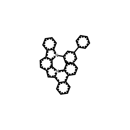 c1ccc(-c2cncc(-n3c4ccccc4c4ccc5cc6c7ccccc7c7ccccc7n6c5c43)c2)cc1